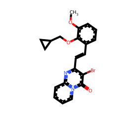 COc1cccc(C=Cc2nc3ccccn3c(=O)c2Br)c1OCC1CC1